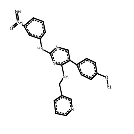 CCOc1ccc(-c2cnc(Nc3cccc([SH](=N)=O)c3)nc2NCc2cccnc2)cc1